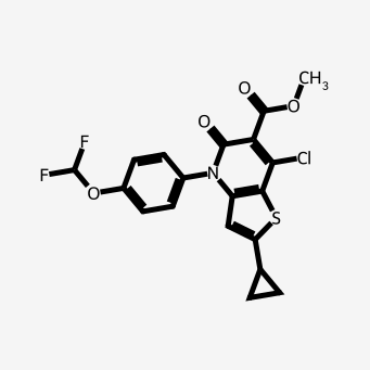 COC(=O)c1c(Cl)c2sc(C3CC3)cc2n(-c2ccc(OC(F)F)cc2)c1=O